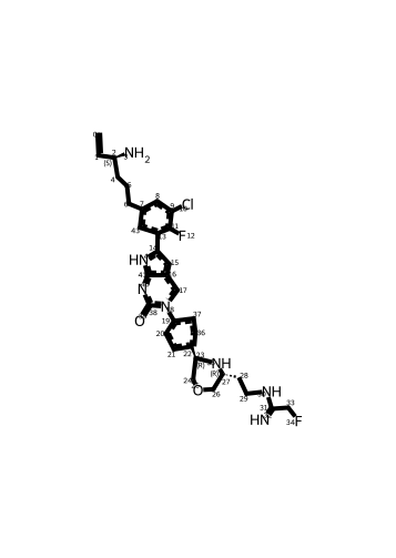 C=C[C@@H](N)CCCc1cc(Cl)c(F)c(-c2cc3cn(-c4ccc([C@@H]5COC[C@@H](CCNC(=N)CF)N5)cc4)c(=O)nc3[nH]2)c1